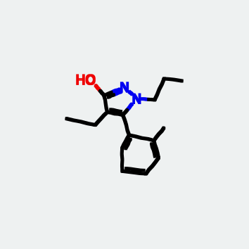 CCCn1nc(O)c(CC)c1-c1ccccc1C